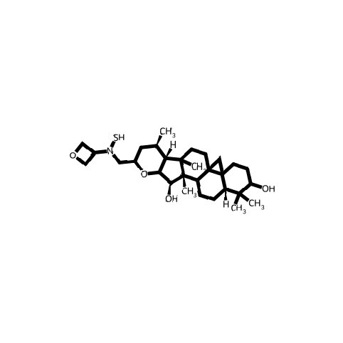 C[C@@H]1CC(CN(S)C2COC2)OC2[C@H]1C1(C)CCC34CC35CCC(O)C(C)(C)[C@@H]5CCC4[C@]1(C)[C@H]2O